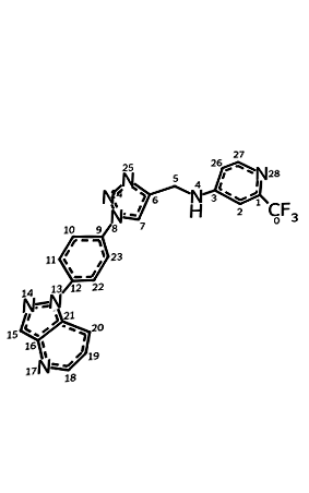 FC(F)(F)c1cc(NCc2cn(-c3ccc(-n4ncc5ncccc54)cc3)nn2)ccn1